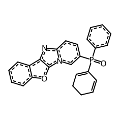 O=P(C1=CCCC=C1)(c1ccccc1)c1ccc2nc3c4ccccc4oc3n2c1